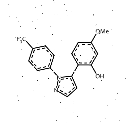 COc1ccc(-c2ccnn2-c2ccc(C(F)(F)F)cc2)c(O)c1